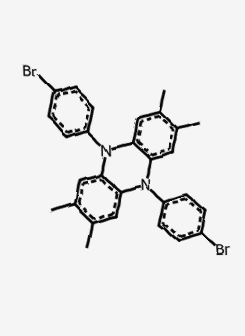 Cc1cc2c(cc1C)N(c1ccc(Br)cc1)c1cc(C)c(C)cc1N2c1ccc(Br)cc1